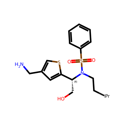 CC(C)CCN([C@H](CO)c1cc(CN)cs1)S(=O)(=O)c1ccccc1